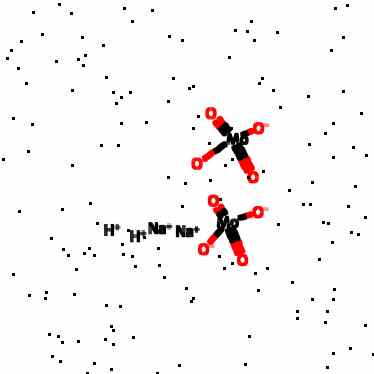 [H+].[H+].[Na+].[Na+].[O]=[Mo](=[O])([O-])[O-].[O]=[Mo](=[O])([O-])[O-]